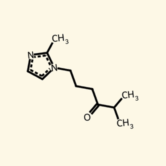 Cc1nccn1CCCC(=O)C(C)C